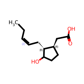 CC/C=C\C[C@H]1C(O)CC[C@@H]1CC(=O)O